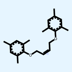 Cc1cc(C)c(OC/C=C\COc2c(C)cc(C)cc2C)c(C)c1